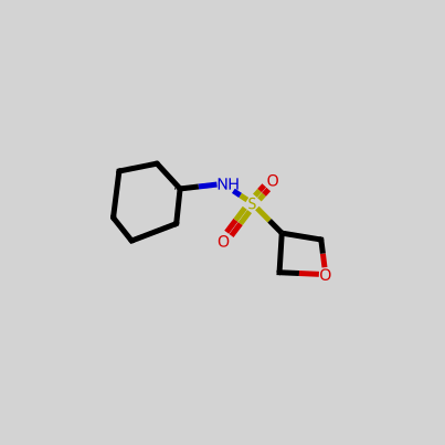 O=S(=O)(N[C]1CCCCC1)C1COC1